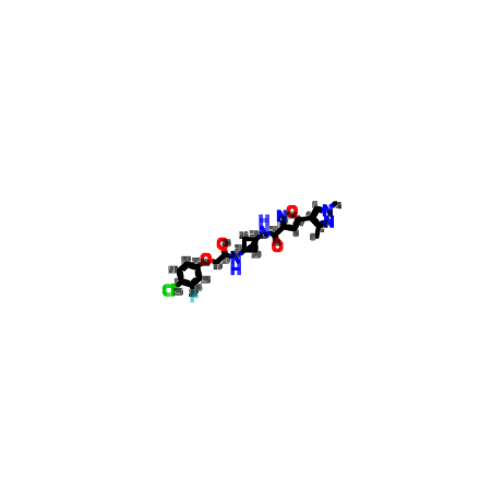 Cc1nn(C)cc1-c1cc(C(=O)NC23CC(NC(=O)COc4ccc(Cl)c(F)c4)(C2)C3)no1